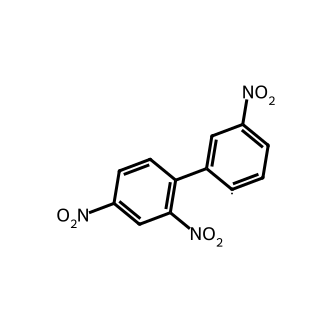 O=[N+]([O-])c1cc[c]c(-c2ccc([N+](=O)[O-])cc2[N+](=O)[O-])c1